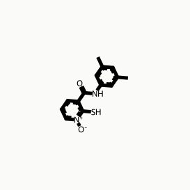 Cc1cc(C)cc(NC(=O)c2ccc[n+]([O-])c2S)c1